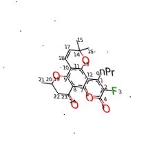 CCCc1c(F)c(=O)oc2c3c(c4c(c12)OC(C)(C)C=C4)OC(C)CC3=O